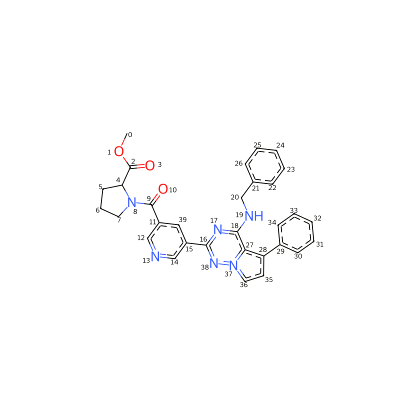 COC(=O)C1CCCN1C(=O)c1cncc(-c2nc(NCc3ccccc3)c3c(-c4ccccc4)ccn3n2)c1